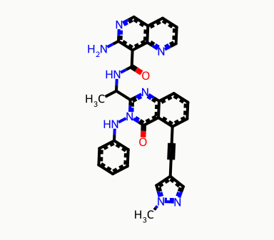 CC(NC(=O)c1c(N)ncc2cccnc12)c1nc2cccc(C#Cc3cnn(C)c3)c2c(=O)n1Nc1ccccc1